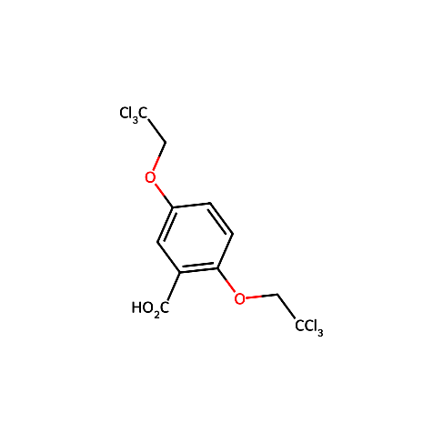 O=C(O)c1cc(OCC(Cl)(Cl)Cl)ccc1OCC(Cl)(Cl)Cl